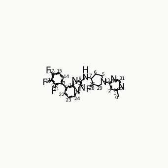 Cc1cc(N2CCC(Nc3nc4c(-c5ccc(F)c(F)c5F)cccn4n3)C(F)C2)ncn1